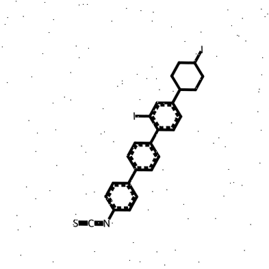 S=C=Nc1ccc(-c2ccc(-c3ccc(C4CCC(I)CC4)cc3I)cc2)cc1